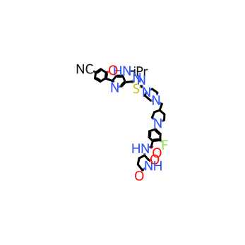 CC(C)Nc1c(-c2nnc(N3CCN(CC4CCN(c5ccc(C(=O)NC6CCC(=O)NC6=O)c(F)c5)CC4)CC3)s2)cnc2c1oc1cc(C#N)ccc12